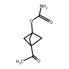 CC(=O)C12CC(OC(N)=O)(C1)C2